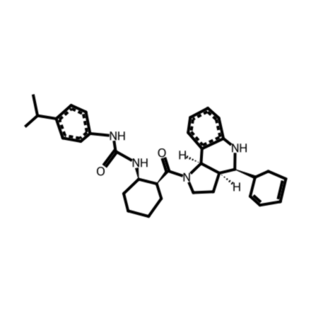 CC(C)c1ccc(NC(=O)N[C@@H]2CCCC[C@@H]2C(=O)N2CC[C@@H]3[C@H](C4C=CC=CC4)Nc4ccccc4[C@@H]32)cc1